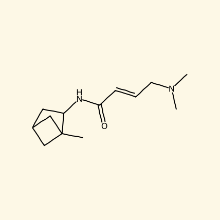 CN(C)C/C=C/C(=O)NC1CC2CC1(C)C2